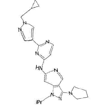 CC(C)n1nc(N2CCCC2)c2cnc(Nc3ccnc(-c4cnn(CC5CC5)c4)n3)cc21